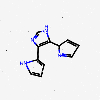 [c]1nc(-c2ccc[nH]2)c(C2C=CC=N2)[nH]1